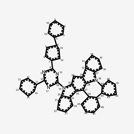 c1ccc(-c2ccc(-c3nc(-c4ccccc4)nc(-n4c5ccccc5c5c6c7c(cc54)c4ccccc4n7-c4ccccc4-c4ccccc4-6)n3)cc2)cc1